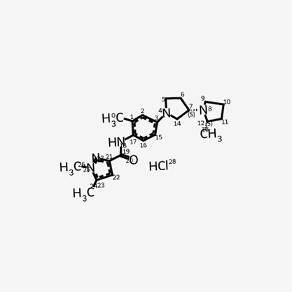 Cc1cc(N2CC[C@H](N3CCC[C@@H]3C)C2)ccc1NC(=O)c1cc(C)n(C)n1.Cl